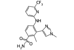 Cc1c(S(N)(=O)=O)ccc(Nc2cccc(C(F)(F)F)n2)c1-c1cn(C)cn1